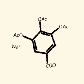 CC(=O)Oc1cc(C(=O)[O-])cc(OC(C)=O)c1OC(C)=O.[Na+]